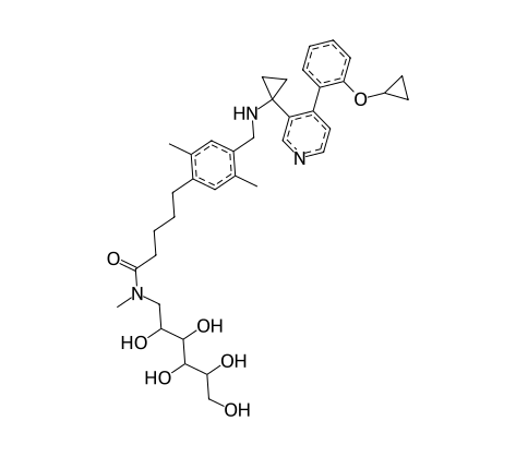 Cc1cc(CNC2(c3cnccc3-c3ccccc3OC3CC3)CC2)c(C)cc1CCCCC(=O)N(C)CC(O)C(O)C(O)C(O)CO